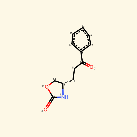 O=C1N[C@@H](CCC(=O)c2ccccc2)CO1